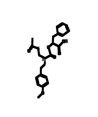 COc1ccc(CC[C@H](CSC(C)=O)C(=O)OC(Cc2ccccc2)C(=O)O)cc1